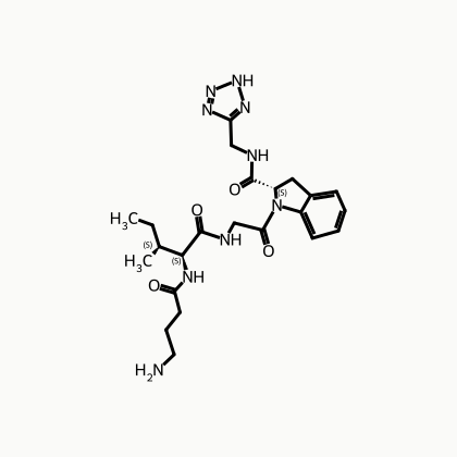 CC[C@H](C)[C@H](NC(=O)CCCN)C(=O)NCC(=O)N1c2ccccc2C[C@H]1C(=O)NCc1nn[nH]n1